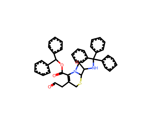 O=CCC1=C(C(=O)OC(c2ccccc2)c2ccccc2)N2C(=O)C(NC(c3ccccc3)(c3ccccc3)c3ccccc3)C2SC1